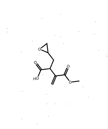 C=C(C(=O)OC)C(CC1CO1)C(=O)O